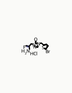 Cl.NC/C(=C\F)Cn1ncn(Cc2ccc(Br)s2)c1=O